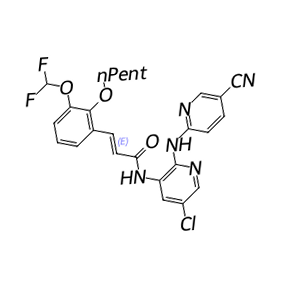 CCCCCOc1c(/C=C/C(=O)Nc2cc(Cl)cnc2Nc2ccc(C#N)cn2)cccc1OC(F)F